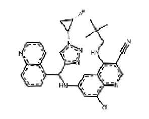 CC(C)(C)CNc1c(C#N)cnc2c(Cl)cc(NC(c3cn([C@@H]4C[C@@H]4F)nn3)c3cccc4ncccc34)cc12